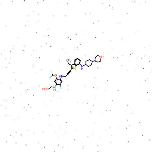 OCCNc1cc(OC(F)F)c(NCC#Cc2sc3c(NC4CCC(N5CCOCC5)CC4)cccc3c2CC(F)(F)F)cc1F